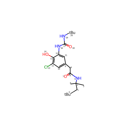 CC(C)(C)CC(C)(C)NC(=O)Cc1cc(Cl)c(O)c(NC(=O)NC(C)(C)C)c1